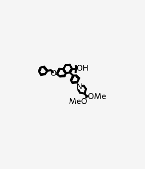 COC(OC)C1CCN(c2ccc(C3=C(C(C)(C)O)CCc4cc(OCc5ccccc5)ccc43)cc2)CC1